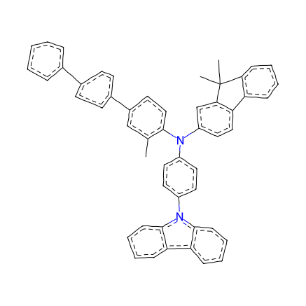 Cc1cc(-c2ccc(-c3ccccc3)cc2)ccc1N(c1ccc(-n2c3ccccc3c3ccccc32)cc1)c1ccc2c(c1)C(C)(C)c1ccccc1-2